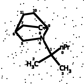 CCCC(C)(C)N1CC2CCC1CC2